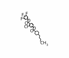 CCCCCC1CCC(C(=O)Oc2ccc(C(=O)Oc3cc(F)c(F)c(F)c3)c(Cl)c2)CC1